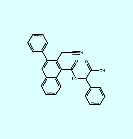 N#CCc1c(-c2ccccc2)nc2ccccc2c1C(=O)N[C@@H](C(=O)O)c1ccccc1